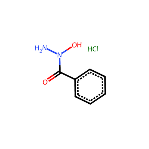 Cl.NN(O)C(=O)c1ccccc1